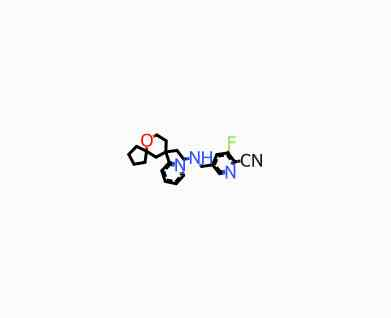 N#Cc1ncc(CNCCC2(c3ccccn3)CCOC3(CCCC3)C2)cc1F